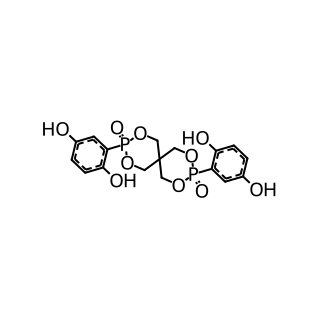 O=P1(c2cc(O)ccc2O)OCC2(CO1)COP(=O)(c1cc(O)ccc1O)OC2